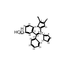 CC1=C(C)C[C]([Zr]([C]2=CC=CC2)=[C](c2ccccc2)c2ccccc2)=C1.Cl.Cl